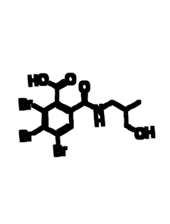 CC(CO)CNC(=O)c1cc(Br)c(Br)c(Br)c1C(=O)O